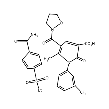 CCS(=O)(=O)c1ccc(C(N)=O)cc1.Cc1c(C(=O)N2CCCO2)cc(C(=O)O)c(=O)n1-c1cccc(C(F)(F)F)c1